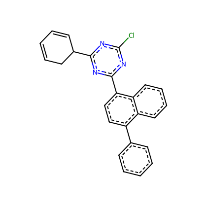 Clc1nc(-c2ccc(-c3ccccc3)c3ccccc23)nc(C2C=CC=CC2)n1